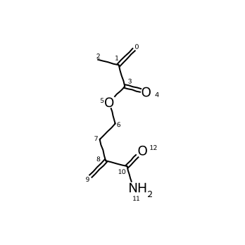 C=C(C)C(=O)OCCC(=C)C(N)=O